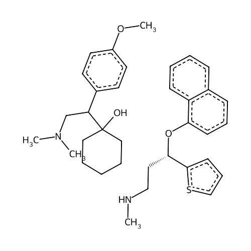 CNCC[C@H](Oc1cccc2ccccc12)c1cccs1.COc1ccc(C(CN(C)C)C2(O)CCCCC2)cc1